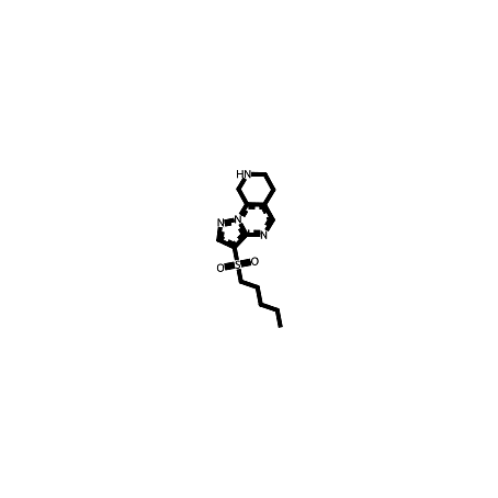 CCCCCS(=O)(=O)c1cnn2c3c(cnc12)CCNC3